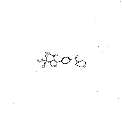 NS(=O)(=O)n1ccc(-c2ccc(C(=O)N3CCOCC3)cc2)c1C(=O)O